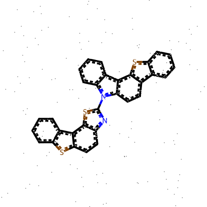 c1ccc2c(c1)sc1c2ccc2c1c1ccccc1n2-c1nc2ccc3sc4ccccc4c3c2s1